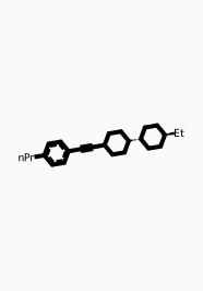 CCCc1ccc(C#CC2CCC([C@H]3CC[C@H](CC)CC3)CC2)cc1